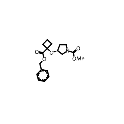 COC(=O)N1CC[C@H](OC2(C(=O)OCc3ccccc3)CCC2)C1